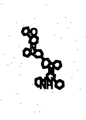 C1CCC(C2CC(N3C4CCCCC4C4CC(C5CCC6C(C5)C5CCCCC5N6C5CCC6OC7CCCCC7C6C5)CCC43)CC(C3CCCCN3)N2)CC1